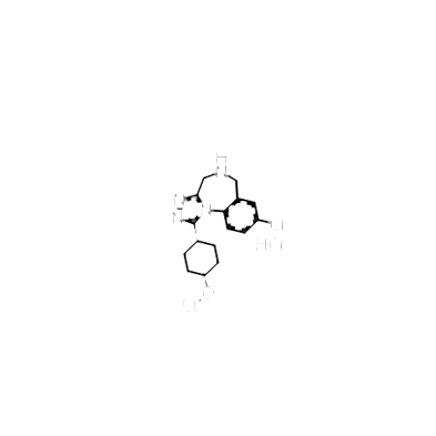 CCO[C@H]1CC[C@@H](c2nnc3n2-c2ccc(Cl)cc2CNC3)CC1.Cl